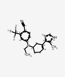 CCN(c1ccc(C#N)c(C(F)(F)F)c1)C1CCC=C(c2nc[nH]c2C)C1